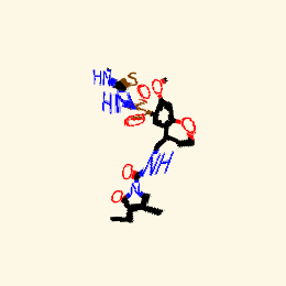 CCC1=C(C)CN(C(=O)NCC2CCOc3cc(OC)c(S(=O)(=O)NC(=S)NC)cc32)C1=O